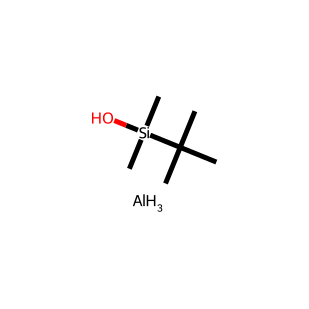 CC(C)(C)[Si](C)(C)O.[AlH3]